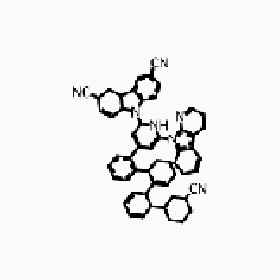 N#Cc1ccc2c(c1)C1CC(C#N)C=CC1N2C1C=C(c2ccccc2C2CCCC=C2C2C=CC=CC2C2CCCC(C#N)C2)C=C(n2c3c(c4c2N=CCC4)C=CCC3)N1